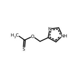 CC(=S)OCc1c[nH]cn1